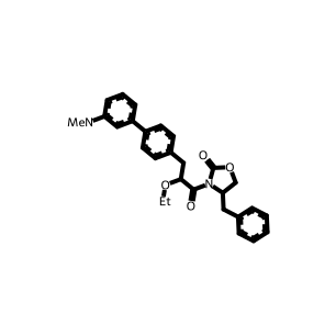 CCOC(Cc1ccc(-c2cccc(NC)c2)cc1)C(=O)N1C(=O)OCC1Cc1ccccc1